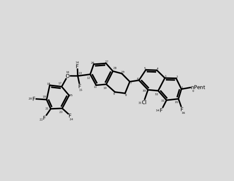 CCCCCc1cc2ccc(C3CCc4cc(C(F)(F)Oc5cc(F)c(F)c(F)c5)ccc4C3)c(Cl)c2c(F)c1F